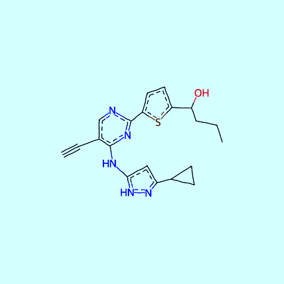 C#Cc1cnc(-c2ccc(C(O)CCC)s2)nc1Nc1cc(C2CC2)n[nH]1